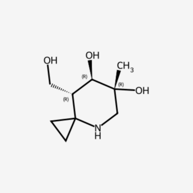 C[C@@]1(O)CNC2(CC2)[C@H](CO)[C@H]1O